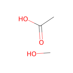 CC(=O)O.CO